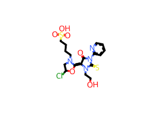 O=C1C(=C2OC(Cl)CN2CCCCS(=O)(=O)O)N(CCO)C(=S)N1c1ccccn1